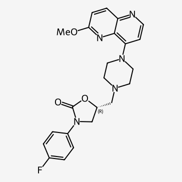 COc1ccc2nccc(N3CCN(C[C@@H]4CN(c5ccc(F)cc5)C(=O)O4)CC3)c2n1